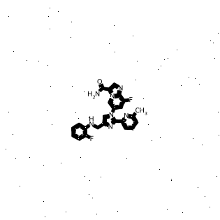 Cc1cccc(-c2nc(CNc3ccccc3F)cn2-c2cc(F)c3ncc(C(N)=O)n3c2)n1